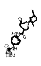 Cc1ccc(C)c(N2CC(C(=O)Nc3ccc(NC(=O)C(C)(C)C)cc3)CC2=O)c1